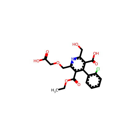 CCOC(=O)c1c(COCC(=O)O)nc(CO)c(C(=O)O)c1-c1ccccc1Cl